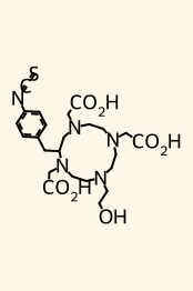 O=C(O)CN1CCN(CCO)CCN(CC(=O)O)C(Cc2ccc(N=C=S)cc2)CN(CC(=O)O)CC1